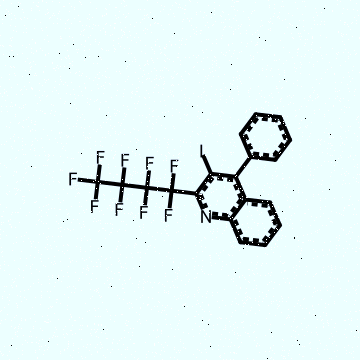 FC(F)(F)C(F)(F)C(F)(F)C(F)(F)c1nc2ccccc2c(-c2ccccc2)c1I